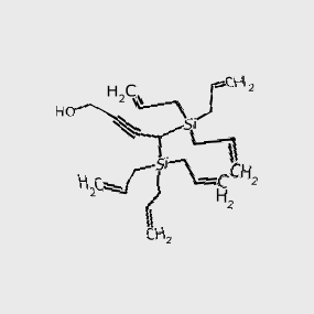 C=CC[Si](CC=C)(CC=C)C(C#CCO)[Si](CC=C)(CC=C)CC=C